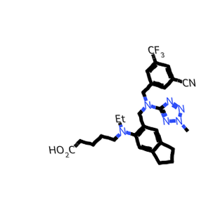 CCN(CCCCC(=O)O)c1cc2c(cc1CN(Cc1cc(C#N)cc(C(F)(F)F)c1)c1nnn(C)n1)CCC2